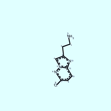 NCCc1cn2nc(Cl)ccc2n1